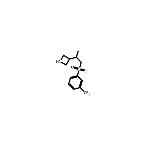 CC(CS(=O)(=O)c1cccc(C(F)(F)F)c1)C1CNC1